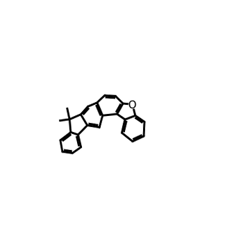 CC1(C)c2ccccc2-c2cc3c(ccc4oc5ccccc5c43)cc21